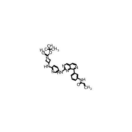 C=CC(=O)Nc1cccc(-c2nccc3cnc(Nc4ccc(NC5CN(C(=O)OC(C)(C)C)C5)nc4)nc23)c1